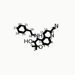 CC1(C)Oc2ccc3nc(C#N)ccc3c2C(NCCc2ccccc2)C1O